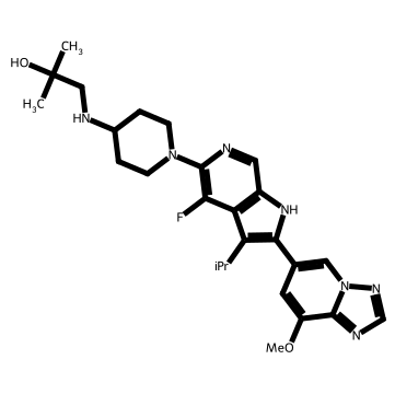 COc1cc(-c2[nH]c3cnc(N4CCC(NCC(C)(C)O)CC4)c(F)c3c2C(C)C)cn2ncnc12